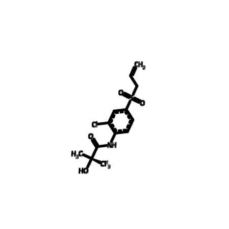 C=CCS(=O)(=O)c1ccc(NC(=O)[C@@](C)(O)C(F)(F)F)c(Cl)c1